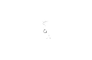 CCCCS(=O)(=O)NCc1ccc(CC(=O)OCCC)s1